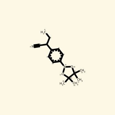 CCC(C#N)c1ccc(B2OC(C)(C)C(C)(C)O2)cc1